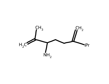 C=C(CCC(N)C(=C)C)C(C)C